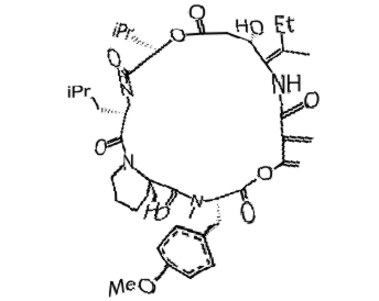 C=C1OC(=O)[C@H](Cc2ccc(OC)cc2)N(C)C(=O)[C@@H]2CCCN2C(=O)[C@H](CC(C)C)NC(=O)[C@H](C(C)C)OC(=O)C[C@H](O)/C(=C(/C)CC)NC(=O)C1=C